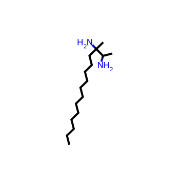 CCCCCCCCCCCCC(C)(N)C(C)N